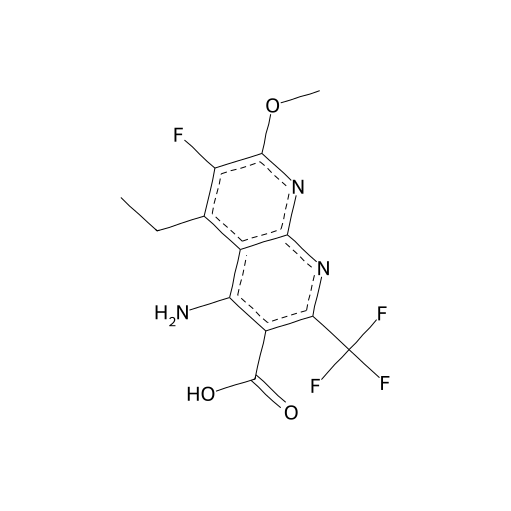 CCc1c(F)c(OC)nc2nc(C(F)(F)F)c(C(=O)O)c(N)c12